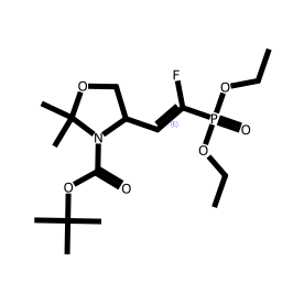 CCOP(=O)(OCC)/C(F)=C/C1COC(C)(C)N1C(=O)OC(C)(C)C